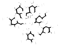 COC1[C@H](OCC2O[C@@H](O)C(NC(C)=O)[C@@H](O)[C@@H]2O[C@@H]2OC(CO)[C@@H](O[C@@H]3OC(CO)[C@@H](O[C@@H]4OC(CO)[C@@H](O[C@@H]5OC(CO)[C@@H](O)[C@H](O)C5N)[C@H](O)C4NC(C)=O)[C@H](O)C3NC(C)=O)[C@H](O)C2NC(C)=O)OC(C)[C@@H](O)[C@H]1O